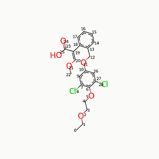 CCOCCOc1c(Cl)cc(OCc2ccccc2C(=COC)C(=O)O)cc1Cl